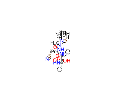 [2H]C([2H])([2H])C(c1nc(CN(C)C(=O)N[C@H](C(=O)N[C@@H](Cc2ccccc2)C[C@H](O)[C@H](Cc2ccccc2)NC(=O)OCc2cncs2)C(C)C)cs1)C([2H])([2H])[2H]